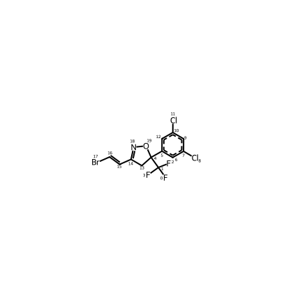 FC(F)(F)C1(c2cc(Cl)cc(Cl)c2)CC(/C=C/Br)=NO1